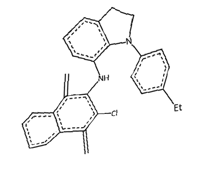 C=c1c(Cl)c(Nc2cccc3c2N(c2ccc(CC)cc2)CC3)c(=C)c2ccccc12